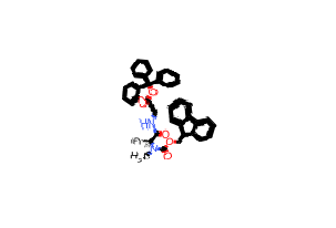 CC(C)[C@@H](C(=O)NCC(=O)OC(c1ccccc1)(c1ccccc1)c1ccccc1)N(C)C(=O)OCC1c2ccccc2-c2ccccc21